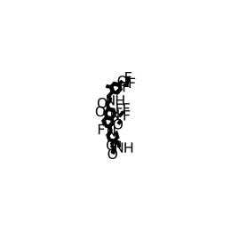 COc1c(N2CCC3(CC2)CNC(=O)O3)c(F)cc2c(=O)c(C(=O)NCc3ccc(OC(F)(F)F)cc3C)cn(CC(F)(F)F)c12